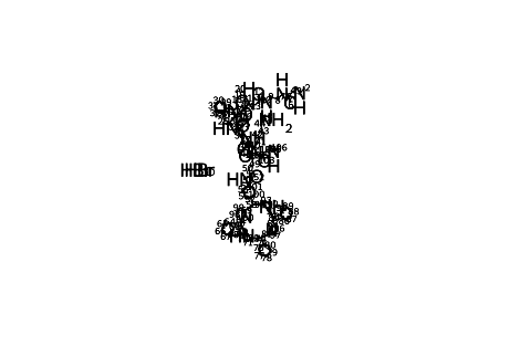 Br.Br.CNCC(=O)NCCNC(=O)CNC(=O)C(CC(C)C)NC(=O)C(Cc1ccccc1)NC(=O)CNC(=O)C(CCCCN)N(C(=O)CCC(=O)Nc1ccc(-c2c3nc(c(-c4ccccc4)c4ccc([nH]4)c(-c4ccccc4)c4nc(c(-c5ccccc5)c5ccc2[nH]5)C=C4)C=C3)cc1)C(=O)CNC